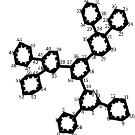 c1ccc(-c2cc(-c3ccccc3)nc(-c3cc(-c4ccc(-c5ccccc5)c(-c5ccccc5)c4)cc(-c4ccc(-c5ccccc5)c(-c5ccccc5)c4)c3)c2)cc1